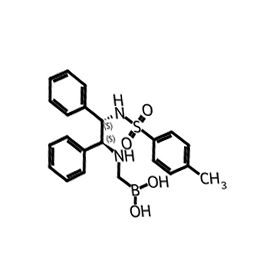 Cc1ccc(S(=O)(=O)N[C@@H](c2ccccc2)[C@@H](NCB(O)O)c2ccccc2)cc1